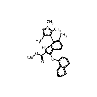 Cc1ccc2c(Oc3cccc4ccccc34)c(C(=O)OC(C)(C)C)[nH]c2c1-c1c(C)nn(C)c1C